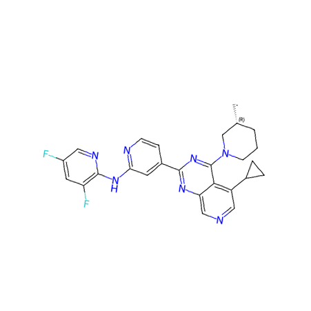 [CH2][C@@H]1CCCN(c2nc(-c3ccnc(Nc4ncc(F)cc4F)c3)nc3cncc(C4CC4)c23)C1